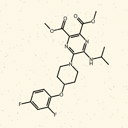 COC(=O)c1nc(NC(C)C)c(N2CCC(Oc3ccc(F)cc3F)CC2)nc1C(=O)OC